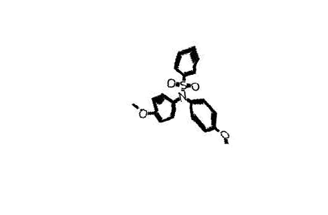 COc1ccc(N(c2ccc(OC)cc2)S(=O)(=O)c2ccccc2)cc1